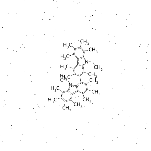 CCn1c2c(C)c(C)c(C)c(C)c2c2c(C)c(C)c(-c3c(C)c(C)c(C)c4c5c(C)c(C)c(C)c(C)c5n(CC)c34)c(C)c21